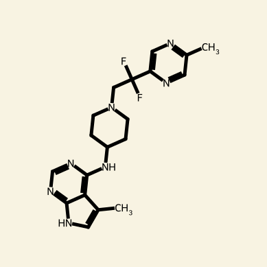 Cc1cnc(C(F)(F)CN2CCC(Nc3ncnc4[nH]cc(C)c34)CC2)cn1